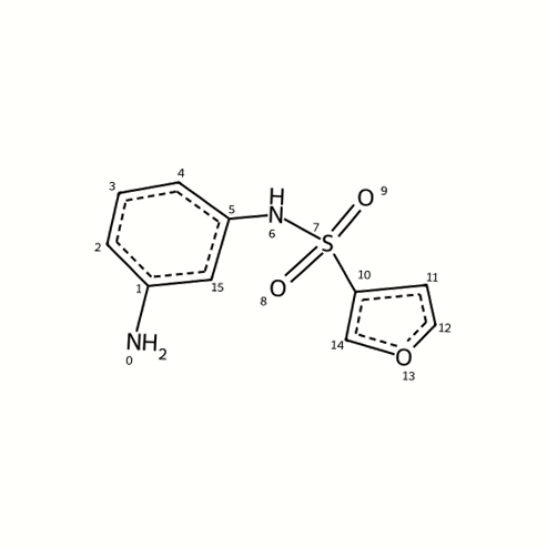 Nc1cccc(NS(=O)(=O)c2ccoc2)c1